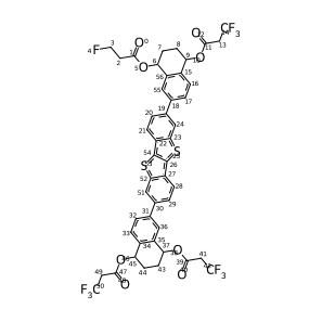 O=C(CCF)OC1CCC(OC(=O)CC(F)(F)F)c2ccc(-c3ccc4c(c3)sc3c5ccc(-c6ccc7c(c6)C(OC(=O)CC(F)(F)F)CCC7OC(=O)CC(F)(F)F)cc5sc43)cc21